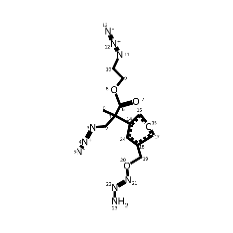 CC(CN=[N+]=[N-])(C(=O)OCCN=[N+]=[N-])c1cccc(CON=NN)c1